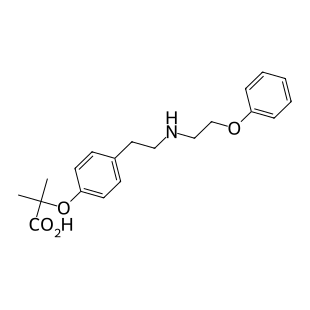 CC(C)(Oc1ccc(CCNCCOc2ccccc2)cc1)C(=O)O